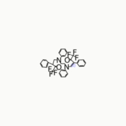 O=C(/C(=C\N(CCN(CC(C(=O)C(F)(F)F)c1ccccc1)c1ccccc1)c1ccccc1)c1ccccc1)C(F)(F)F